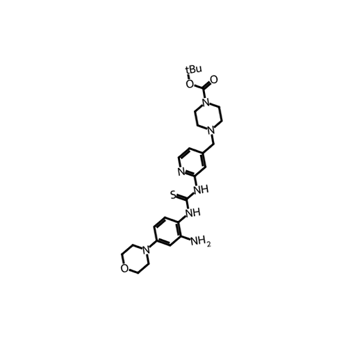 CC(C)(C)OC(=O)N1CCN(Cc2ccnc(NC(=S)Nc3ccc(N4CCOCC4)cc3N)c2)CC1